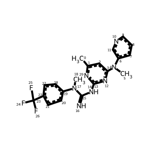 Cc1cc(N(C)c2cccnc2)nc(NC(=N)N(C)c2ccc(C(F)(F)F)cc2)n1